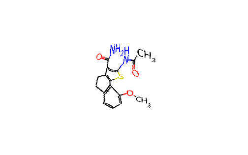 COc1cccc2c1-c1sc(NC(C)=O)c(C(N)=O)c1CC2